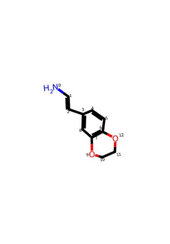 NC=Cc1ccc2c(c1)OCCO2